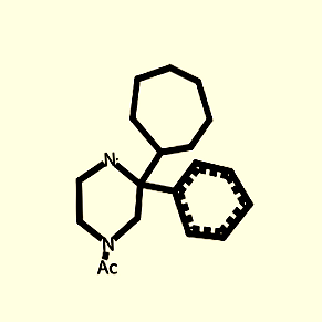 CC(=O)N1CC[N]C(c2ccccc2)(C2CCCCCC2)C1